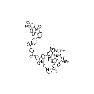 Cc1cc(F)c(Nc2nc(-c3ccc4c(c3)N([C@H]3C[C@@H](N5CCCCC5)C3)C(=O)C43CCN(C(=O)c4ccc(C(=O)N5CCC(c6cccc7c6C(=O)N([C@H]6CCC(=O)NC6=O)C7=O)CC5)cc4)CC3)cc3ncn(C(C)C)c23)cc1C(=O)NC(C)C